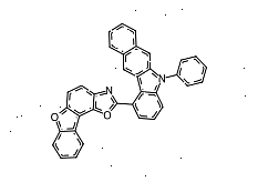 c1ccc(-n2c3cc4ccccc4cc3c3c(-c4nc5ccc6oc7ccccc7c6c5o4)cccc32)cc1